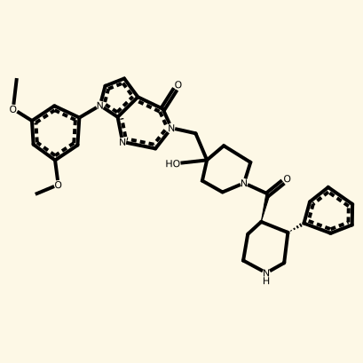 COc1cc(OC)cc(-n2ccc3c(=O)n(CC4(O)CCN(C(=O)[C@@H]5CCNC[C@H]5c5ccccc5)CC4)cnc32)c1